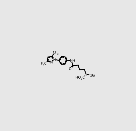 CC(C)(C)N(CCCC(=O)Nc1ccc(-n2nc(C(F)(F)F)cc2C(F)(F)F)cc1)C(=O)O